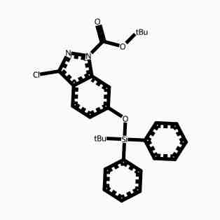 CC(C)(C)OC(=O)n1nc(Cl)c2ccc(O[Si](c3ccccc3)(c3ccccc3)C(C)(C)C)cc21